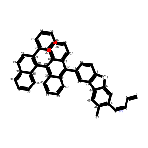 C=C/C=C\c1cc2oc3ccc(-c4c5ccccc5c(-c5c(-c6ccccc6)ccc6ccccc56)c5ccccc45)cc3c2cc1C